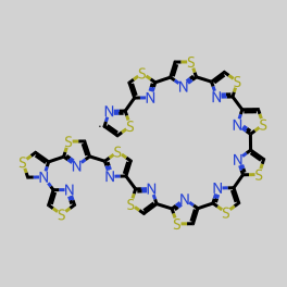 [c]1csc(-c2csc(-c3csc(-c4csc(-c5csc(-c6csc(-c7csc(-c8csc(-c9csc(-c%10csc(-c%11csc(C%12=CSCN%12c%12cscn%12)n%11)n%10)n9)n8)n7)n6)n5)n4)n3)n2)n1